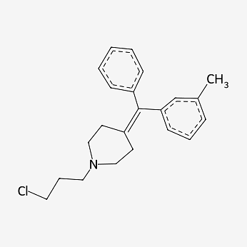 Cc1cccc(C(=C2CCN(CCCCl)CC2)c2ccccc2)c1